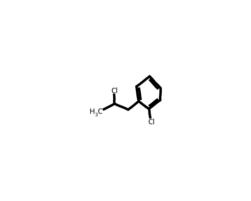 CC(Cl)Cc1ccccc1Cl